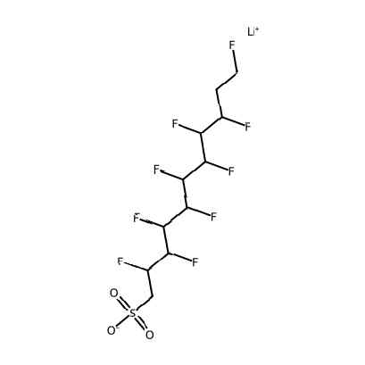 O=S(=O)([O-])CC(F)C(F)C(F)C(F)C(F)C(F)C(F)C(F)CCF.[Li+]